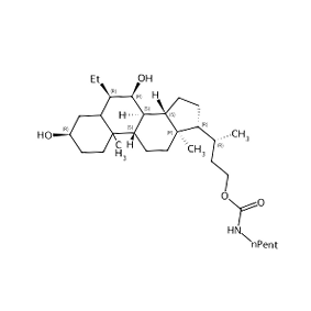 CCCCCNC(=O)OCC[C@@H](C)[C@H]1CC[C@H]2[C@@H]3[C@H](O)[C@H](CC)C4C[C@H](O)CCC4(C)[C@H]3CC[C@]12C